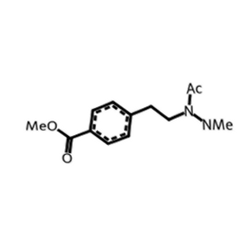 CNN(CCc1ccc(C(=O)OC)cc1)C(C)=O